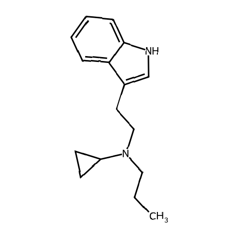 CCCN(CCc1c[nH]c2ccccc12)C1CC1